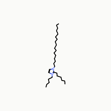 CCCCCCCCCCCCCCCCCn1cc[n+](CCCCC)c1CCCCCC